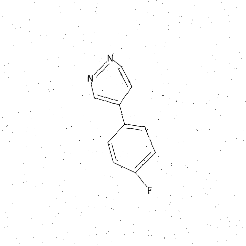 Fc1ccc(-c2ccnnc2)cc1